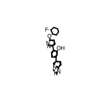 Oc1cc(-c2ccc3nncn3c2)ccc1-c1ccc(O[C@H]2CCCC[C@H]2F)nn1